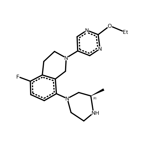 CCOc1ncc(N2CCc3c(F)ccc(N4CCN[C@H](C)C4)c3C2)cn1